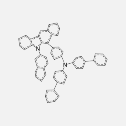 c1ccc(-c2ccc(N(c3ccc(-c4ccccc4)cc3)c3ccc(-c4c5ccccc5cc5c6ccccc6n(-c6ccc7ccccc7c6)c45)cc3)cc2)cc1